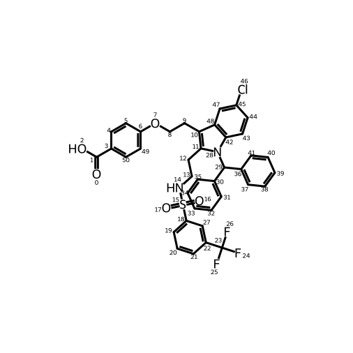 O=C(O)c1ccc(OCCc2c(CCNS(=O)(=O)c3cccc(C(F)(F)F)c3)n(C(c3ccccc3)c3ccccc3)c3ccc(Cl)cc23)cc1